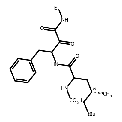 CCNC(=O)C(=O)C(Cc1ccccc1)NC(=O)C(C[C@H](C)CC(C)(C)C)NC(=O)O